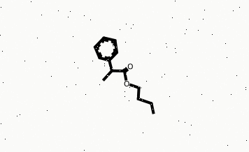 CCC[CH]OC(=O)C(C)c1ccccc1